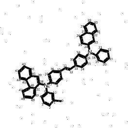 Cc1cccc(N(c2ccc(/C=C/c3ccc(N(c4ccccc4)c4ccc5ccccc5c4)cc3)cc2)c2cc3ccccc3c3ccccc23)c1